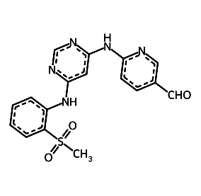 CS(=O)(=O)c1ccccc1Nc1cc(Nc2ccc(C=O)cn2)ncn1